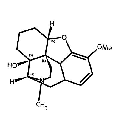 COC1=C2O[C@H]3CCC[C@@]4(O)[C@H]5CC(C=C1)C2[C@@]34CCN5C